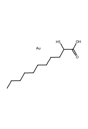 CCCCCCCCCC(S)C(=O)O.[Au]